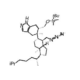 CC(C)CCC[C@@H](C)[C@H]1CC[C@H]2[C@H](CN=[N+]=[N-])[C@@H]([C@@]3(C)Cc4cn[nH]c4C[C@@H]3CO[Si](C)(C)C(C)(C)C)CC[C@]12C